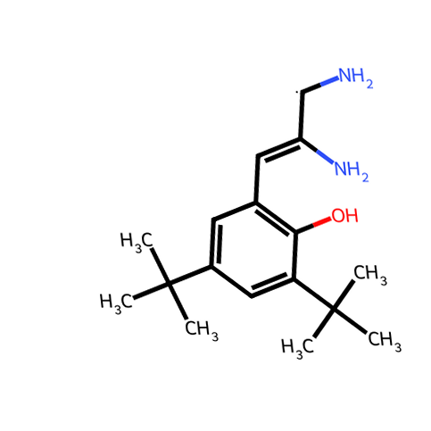 CC(C)(C)c1cc(C=C(N)[CH]N)c(O)c(C(C)(C)C)c1